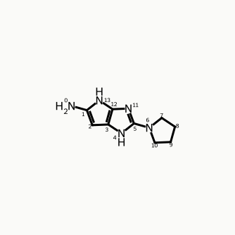 Nc1cc2[nH]c(N3CCCC3)nc2[nH]1